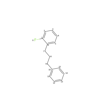 Fc1ccccc1CC[CH]c1ccccc1